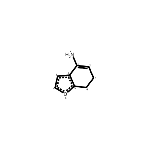 NC1=CCCc2occc21